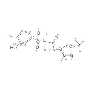 Cc1ccc(S(=O)(=O)C(C)(C)C(=O)Nc2cc(C(C)(C)C)nn2C)cc1O